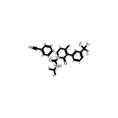 CC1=C(c2cccc(C(F)(F)F)c2)C(=O)N(C(=O)NC(C)C)[C@H](c2ccc(C#N)cc2)C1